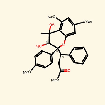 COC(=O)C[C@H](c1ccccc1)[C@@]1(c2ccc(OC)cc2)Oc2cc(OC)cc(OC)c2C(C)(O)[C@@H]1O